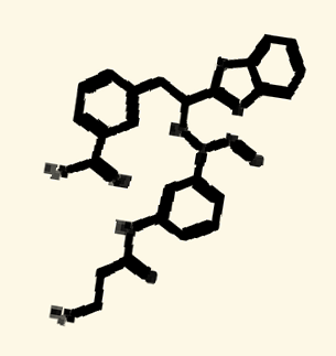 N=C(N)c1cccc(CC(N[SH](N=O)c2cccc(NC(=O)CCN)c2)c2nc3ccccc3s2)c1